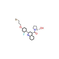 O=C(c1cc(-c2ccc(OCCCBr)cc2F)nc2ccccc12)N1CCC[C@@H]1CO